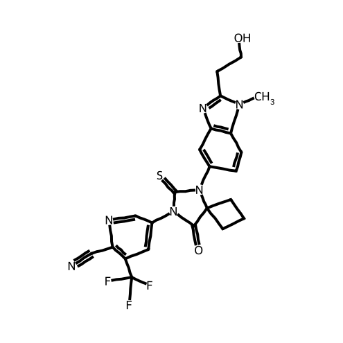 Cn1c(CCO)nc2cc(N3C(=S)N(c4cnc(C#N)c(C(F)(F)F)c4)C(=O)C34CCC4)ccc21